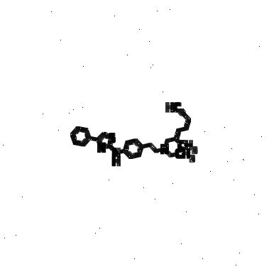 C#C/C=C\C=C(/C)CN(CC)CCc1ccc(Nc2nc(-c3ccccc3)cs2)cc1